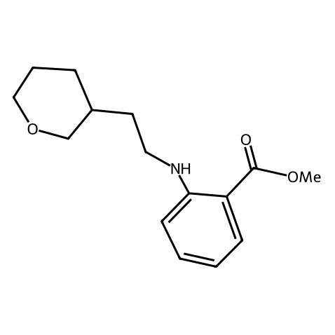 COC(=O)c1ccccc1NCCC1CCCOC1